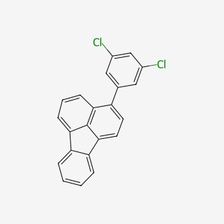 Clc1cc(Cl)cc(-c2ccc3c4c(cccc24)-c2ccccc2-3)c1